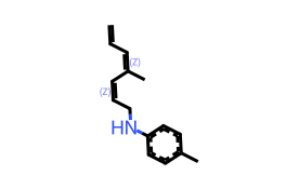 C=C/C=C(C)\C=C/CNc1ccc(C)cc1